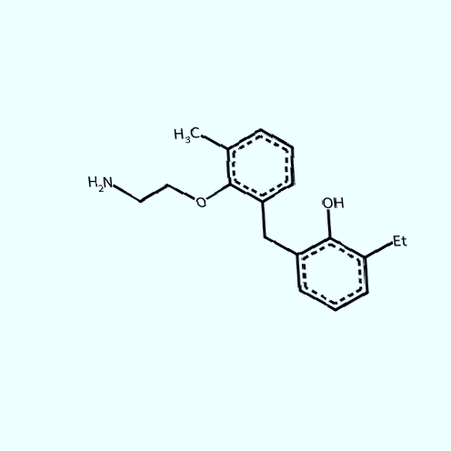 CCc1cccc(Cc2cccc(C)c2OCCN)c1O